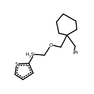 CC(C)CC1(COC[SiH2]c2cccs2)CCCCC1